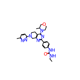 CCNC(=O)Nc1ccc(-c2nc3c(c(N4CCOCC4C)n2)CCN(c2ccc(C)nn2)C3)cc1